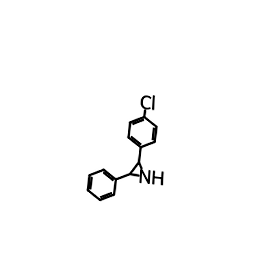 Clc1ccc(C2NC2c2ccccc2)cc1